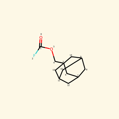 O=C(F)OCC12CC3CC(CC(C3)C1)C2